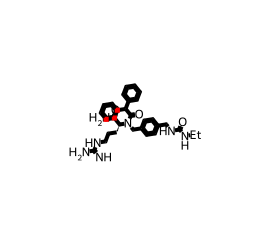 CCNC(=O)NCc1ccc(CN(C(=O)C(c2ccccc2)c2ccccc2)[C@H](CCCNC(=N)N)C(N)=O)cc1